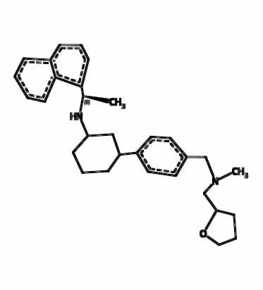 C[C@@H](NC1CCCC(c2ccc(CN(C)CC3CCCO3)cc2)C1)c1cccc2ccccc12